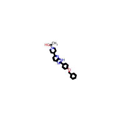 CB(O)N1CCC(c2ccc3nc(-c4ccc(OCc5ccccc5)cc4)[nH]c3n2)CC1